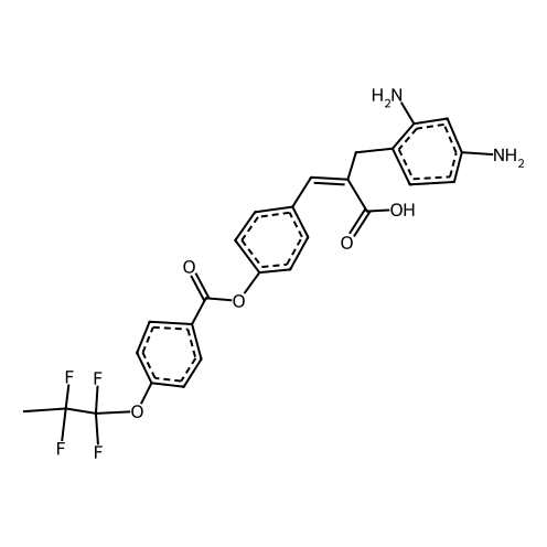 CC(F)(F)C(F)(F)Oc1ccc(C(=O)Oc2ccc(C=C(Cc3ccc(N)cc3N)C(=O)O)cc2)cc1